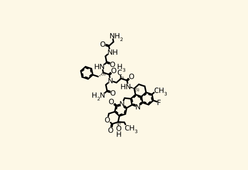 CC[C@@]1(O)C(=O)OCc2c1cc1n(c2=O)Cc2c-1nc1cc(F)c(C)c3c1c2[C@@H](NC(=O)[C@H](C)CN(CC(N)=O)C(=O)[C@H](Cc1ccccc1)NC(=O)CNC(=O)CN)CC3